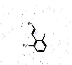 CC(C)/C=C/c1c(F)cccc1C(F)(F)F